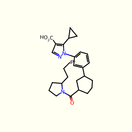 CC(C)CCC1CCCN1C(=O)C1CCCC(c2cccc(-n3ncc(C(=O)O)c3C3CC3)c2)C1